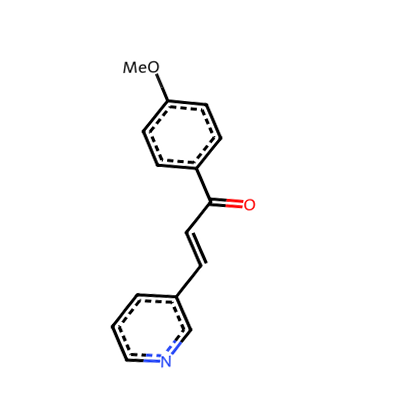 COc1ccc(C(=O)/C=C/c2cccnc2)cc1